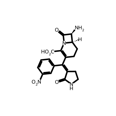 N[C@@H]1C(=O)N2C(C(=O)O)=C(C(=C3CCNC3=O)c3cccc([N+](=O)[O-])c3)CC[C@H]12